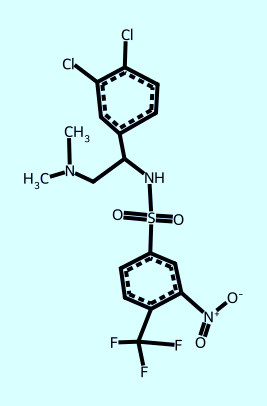 CN(C)CC(NS(=O)(=O)c1ccc(C(F)(F)F)c([N+](=O)[O-])c1)c1ccc(Cl)c(Cl)c1